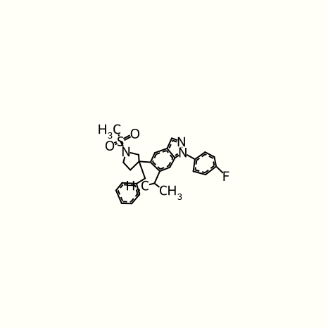 CC(C)c1cc2c(cnn2-c2ccc(F)cc2)cc1C1(Cc2ccccc2)CCN(S(C)(=O)=O)C1